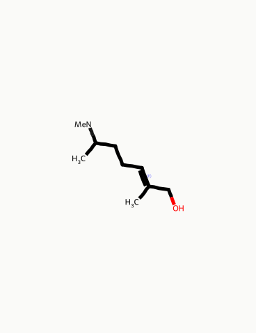 CNC(C)CC/C=C(\C)CO